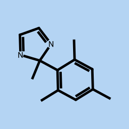 Cc1cc(C)c(C2(C)N=CC=N2)c(C)c1